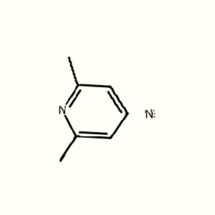 Cc1cccc(C)n1.[N]